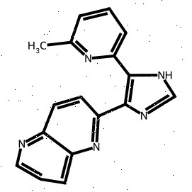 Cc1cccc(-c2[nH]cnc2-c2ccc3ncccc3n2)n1